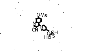 COc1ccc2c(N3CCC(COP(O)(O)=S)CC3)c(C#N)cnc2c1